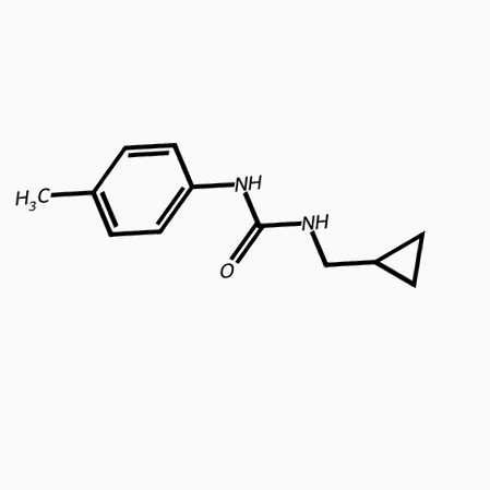 Cc1ccc(NC(=O)NCC2CC2)cc1